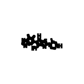 Cc1c(-c2[nH]c3sc(N4CCNC[C@@H]4C)nc3c2C(C)C)cn2ncnc2c1C